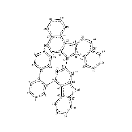 c1ccc(-c2ccccc2-c2nc(-n3c4ccc5ccccc5c4c4ccc5ccccc5c43)nc3sc4ccccc4c23)cc1